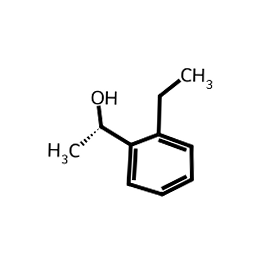 CCc1ccccc1[C@H](C)O